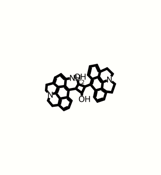 Nc1ccc2c3c4c5c(cccc5c(C5C(O)C(c6c7cccc8c7c7c9c(cccc69)CCN7CC8)C5O)c13)CCN4CC2